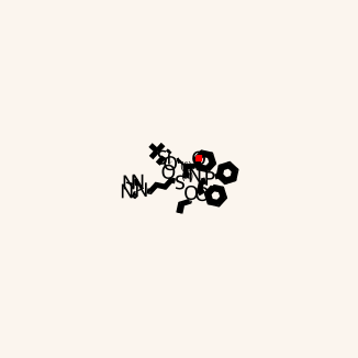 C=CCOC(=O)C(N1C(=O)[C@H](CO[Si](C)(C)C(C)(C)C)[C@H]1SC(=O)CCCn1cnnn1)=P(c1ccccc1)(c1ccccc1)c1ccccc1